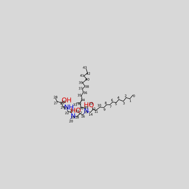 CCCCCCCCCCCCC(O)CN(CCCN(C)CCNCC(O)CC)CC(O)C(C)CCCCCCCCCC